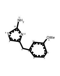 COc1cccc(Cc2csc(N)n2)c1